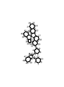 c1ccc(-n2c(-c3cccc(-c4ccc5c6c(ccc5c4)-c4cc5ccccc5cc4C64c5ccccc5-c5ccccc54)c3)nc3ccccc32)cc1